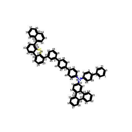 c1ccc(-c2ccc(N(c3ccc(-c4ccc(-c5cccc(-c6cccc7c6sc6c(-c8cccc9ccccc89)cccc67)c5)cc4)cc3)c3ccc4c5ccccc5c5ccccc5c4c3)cc2)cc1